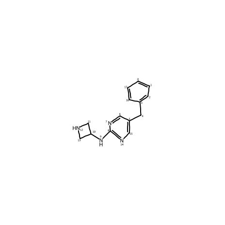 c1ccc(Cc2cnc(NC3CNC3)nc2)cc1